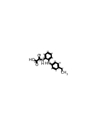 CCc1ccc(Nc2ccccc2NC(=O)C(=O)O)cc1